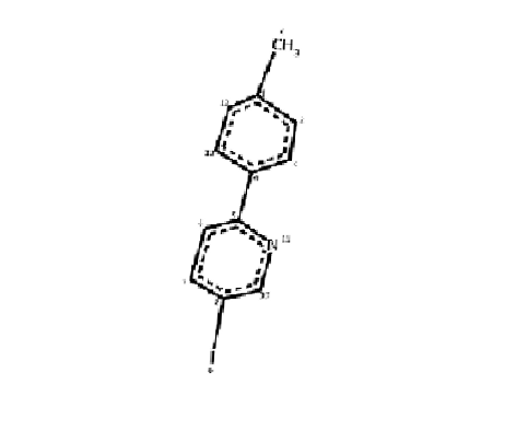 Cc1ccc(-c2ccc(I)cn2)cc1